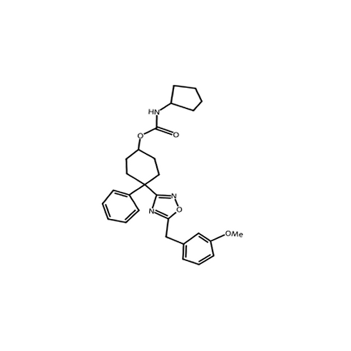 COc1cccc(Cc2nc(C3(c4ccccc4)CCC(OC(=O)NC4CCCC4)CC3)no2)c1